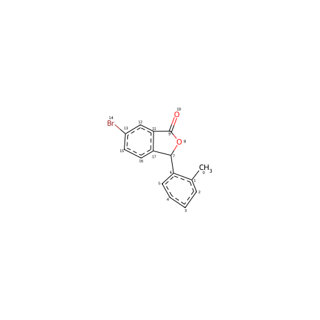 Cc1ccccc1C1OC(=O)c2cc(Br)ccc21